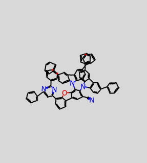 N#Cc1cc2c(oc3c(-c4cc(-c5ccccc5)nc(-c5ccccc5)n4)cccc32)c(-n2c3ccc(-c4ccccc4)cc3c3cc(-c4ccccc4)ccc32)c1-n1c2ccc(-c3ccccc3)cc2c2cc(-c3ccccc3)ccc21